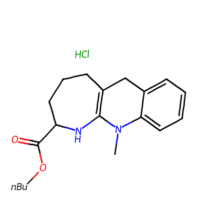 CCCCOC(=O)C1CCCC2=C(N1)N(C)c1ccccc1C2.Cl